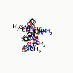 CC(C)C[C@H](O)[C@H](O)[C@H](CC1CCCCC1)NC(=O)[C@@H](CC(=O)N(CC(=O)N(C)CCN(C)C(=O)N1CCOCC1)[C@@H](C)c1ccccc1)Cc1csc(N)n1